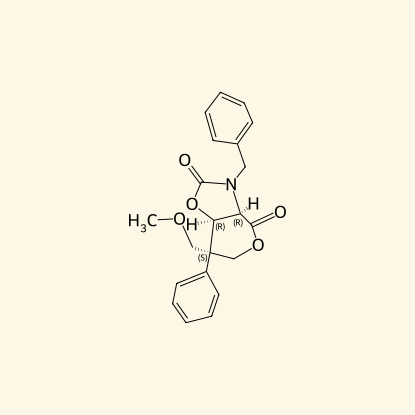 COC[C@@]1(c2ccccc2)COC(=O)[C@H]2[C@@H]1OC(=O)N2Cc1ccccc1